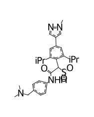 CC(C)c1cc(-c2cnn(C)c2)cc(C(C)C)c1C(C(=O)Nc1ccc(CN(C)C)cc1)[SH](=O)=O